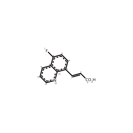 O=C(O)C=Cc1ccc(F)c2cccnc12